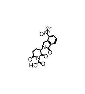 O=C(O)N1C(=O)CCC(N2Cc3c(cccc3[N+](=O)[O-])C2=O)C1=O